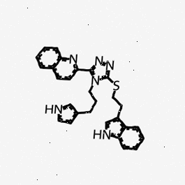 c1ccc2nc(-c3nnc(SCCc4c[nH]c5ccccc45)n3CCCc3cc[nH]c3)ccc2c1